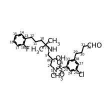 CN(C[C@H](O)CNC(C)(C)CCCc1ccccc1F)S(=O)(=O)c1cc(Cl)cc(CCCC=O)c1